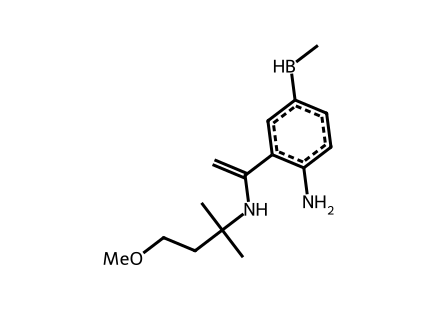 C=C(NC(C)(C)CCOC)c1cc(BC)ccc1N